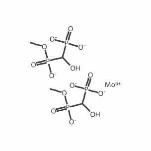 COP(=O)([O-])C(O)P(=O)([O-])[O-].COP(=O)([O-])C(O)P(=O)([O-])[O-].[Mo+6]